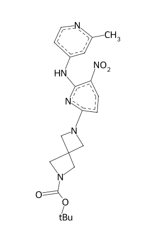 Cc1cc(Nc2nc(N3CC4(CN(C(=O)OC(C)(C)C)C4)C3)ccc2[N+](=O)[O-])ccn1